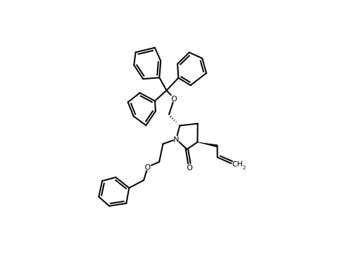 C=CC[C@@H]1C[C@@H](COC(c2ccccc2)(c2ccccc2)c2ccccc2)N(CCOCc2ccccc2)C1=O